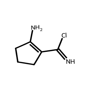 N=C(Cl)C1=C(N)CCC1